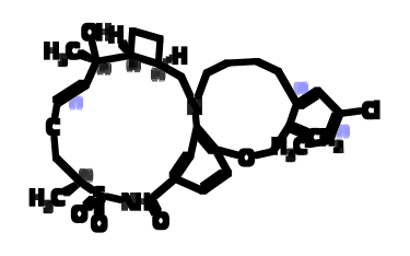 C=C1COc2ccc3cc2N(CCCC/C1=C/C(Cl)=C\C)C[C@@H]1CC[C@H]1[C@@](C)(O)/C=C/CC[C@H](C)S(=O)(=O)NC3=O